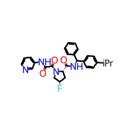 CC(C)c1ccc([C@@H](NC(=O)[C@@H]2C[C@@H](F)CN2C(=O)C(=O)Nc2cccnc2)c2ccccc2)cc1